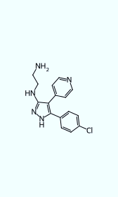 NCCNc1n[nH]c(-c2ccc(Cl)cc2)c1-c1ccncc1